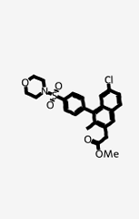 COC(=O)Cc1cc2ccc(Cl)cc2c(-c2ccc(S(=O)(=O)N3CCOCC3)cc2)c1C